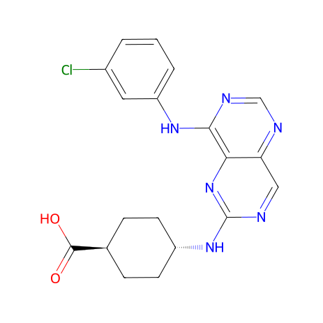 O=C(O)[C@H]1CC[C@H](Nc2ncc3ncnc(Nc4cccc(Cl)c4)c3n2)CC1